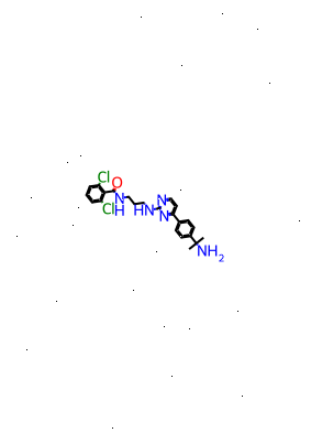 CC(C)(N)c1ccc(-c2ccnc(NCCCNC(=O)c3c(Cl)cccc3Cl)n2)cc1